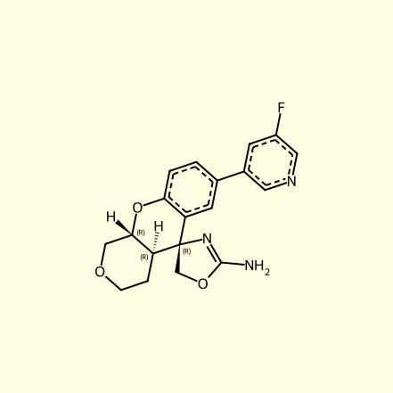 NC1=N[C@@]2(CO1)c1cc(-c3cncc(F)c3)ccc1O[C@H]1COCC[C@@H]12